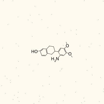 COc1cc(N)c(C2CCc3cc(O)ccc3C2)cc1OC